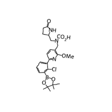 COc1nc(-c2cccc(B3OC(C)(C)C(C)(C)O3)c2Cl)ccc1CN(CC1CCC(=O)N1)C(=O)O